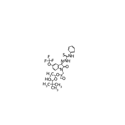 CC(OC(O)C(C)(C)C)OC1(CN2C(=O)/C(=N\NC(=S)Nc3ccccc3)c3cc(OC(F)(F)F)ccc32)CO1